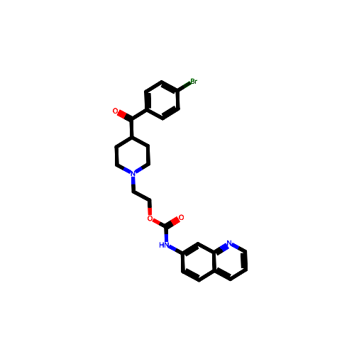 O=C(Nc1ccc2cccnc2c1)OCCN1CCC(C(=O)c2ccc(Br)cc2)CC1